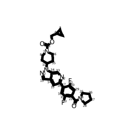 O=C(OCC1CC1)N1CCC(n2ncc3cc(-c4cc(F)c(C(=O)N5CCCC5)cc4F)ncc32)CC1